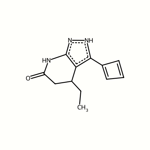 CCC1CC(=O)Nc2n[nH]c(C3=CC=C3)c21